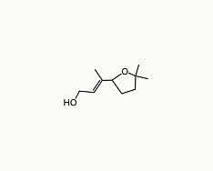 CC(=CCO)C1CCC(C)(C)O1